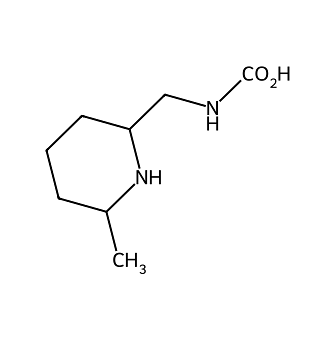 CC1CCCC(CNC(=O)O)N1